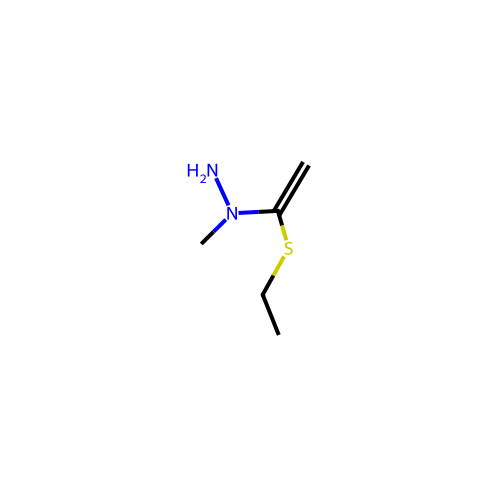 C=C(SCC)N(C)N